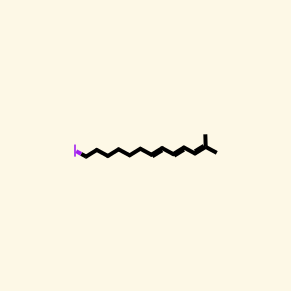 CC(C)=CC=CC=CCCCCCCI